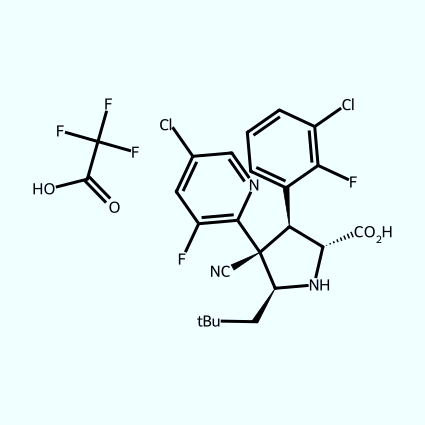 CC(C)(C)C[C@@H]1N[C@@H](C(=O)O)[C@H](c2cccc(Cl)c2F)[C@@]1(C#N)c1ncc(Cl)cc1F.O=C(O)C(F)(F)F